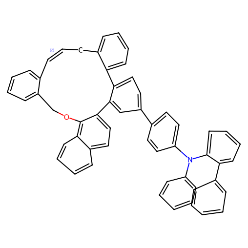 C1=C\c2ccccc2COc2c(ccc3ccccc23)-c2cc(-c3ccc(N(c4ccccc4)c4ccccc4-c4ccccc4)cc3)ccc2-c2ccccc2C/1